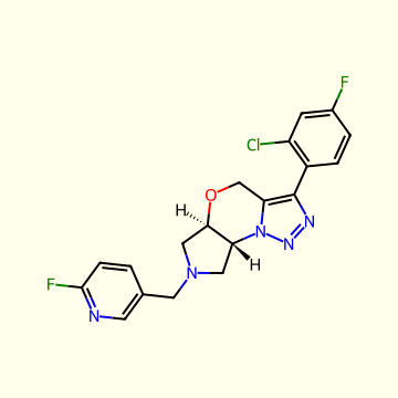 Fc1ccc(-c2nnn3c2CO[C@@H]2CN(Cc4ccc(F)nc4)C[C@H]23)c(Cl)c1